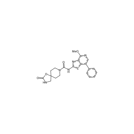 COc1ncc(-c2ccccc2)c2sc(NC(=O)N3CCC4(CC3)CNC(=O)O4)nc12